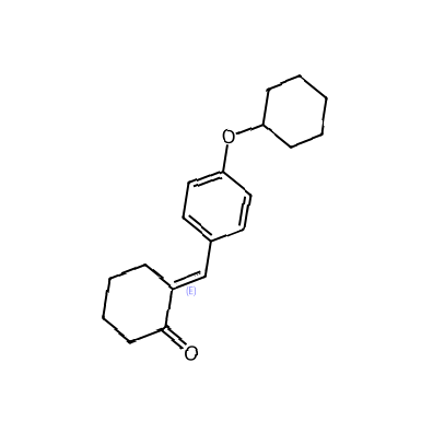 O=C1CCCC/C1=C\c1ccc(OC2CCCCC2)cc1